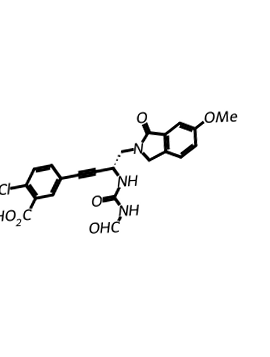 COc1ccc2c(c1)C(=O)N(C[C@@H](C#Cc1ccc(Cl)c(C(=O)O)c1)NC(=O)NC=O)C2